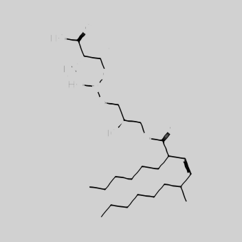 CCCCCCC(C)/C=C\C(CCCCCC)C(=O)OC[C@@H](O)COP(O)O[C@@H](C)[C@H](N)C(=O)O